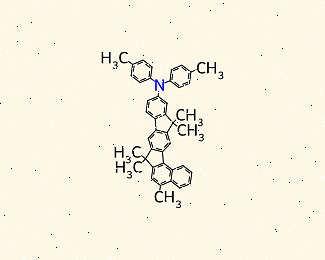 Cc1ccc(N(c2ccc(C)cc2)c2ccc3c(c2)C(C)(C)c2cc4c(cc2-3)C(C)(C)c2cc(C)c3ccccc3c2-4)cc1